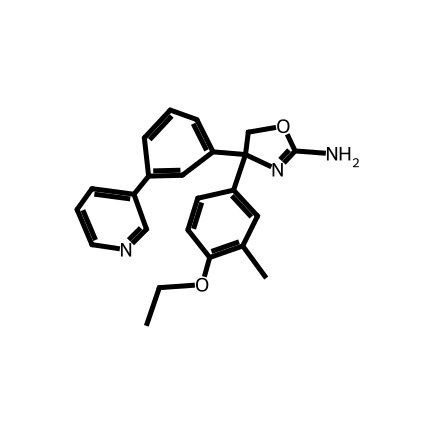 CCOc1ccc(C2(c3cccc(-c4cccnc4)c3)COC(N)=N2)cc1C